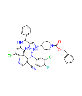 N#Cc1cnc2c(Cl)cc(NC(C3=CN(C4CCN(C(=O)OCc5ccccc5)CC4)NN3)c3ccccc3)cc2c1Nc1ccc(F)c(Cl)c1